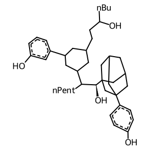 CCCCCC(C1CC(CCC(O)CCCC)CC(c2cccc(O)c2)C1)[C@H](O)C12CC3CC(CC(c4ccc(O)cc4)(C3)C1)C2